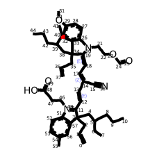 C=CCC1(CC(CC)CCC)C(/C=C/C(C#N)=C/C=C2/N(CCOC=O)c3ccc(OC)cc3C2(CC=C)CC(CC)CCC)=[N+](CCC(=O)O)c2ccc(C)cc21